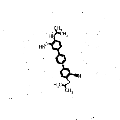 CC(C)Nc1ccc(-c2ccc(-c3ccc(OC(C)C)c(C#N)c3)cc2)cc1N=N